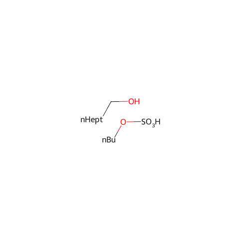 CCCCCCCCO.CCCCOS(=O)(=O)O